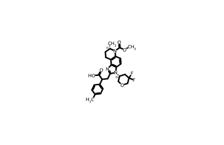 COC(=O)N1c2ccc3c(nc(CC(C(=O)O)c4ccc(C)cc4)n3[C@H]3COCC(F)(F)C3)c2CC[C@@H]1C